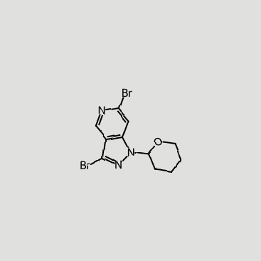 Brc1cc2c(cn1)c(Br)nn2C1CCCCO1